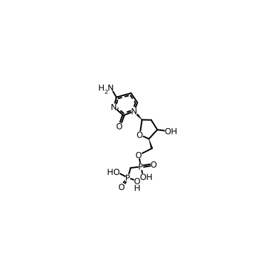 Nc1ccn([C@H]2CC(O)[C@@H](COP(=O)(O)CP(=O)(O)O)O2)c(=O)n1